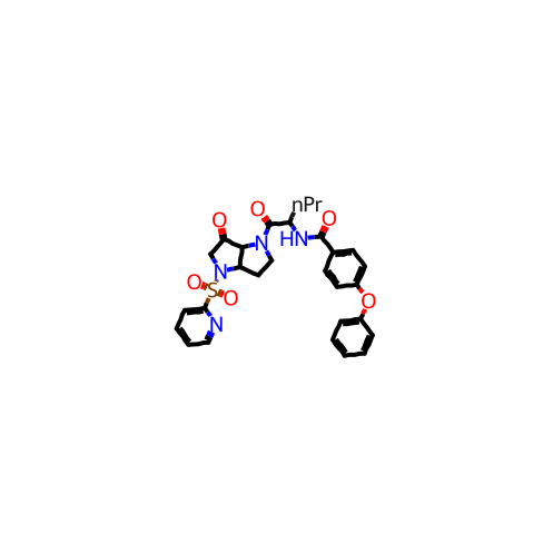 CCCC(NC(=O)c1ccc(Oc2ccccc2)cc1)C(=O)N1CCC2C1C(=O)CN2S(=O)(=O)c1ccccn1